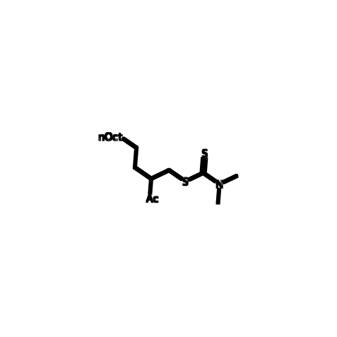 CCCCCCCCCCC(CSC(=S)N(C)C)C(C)=O